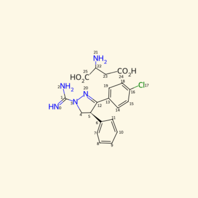 N=C(N)N1C[C@H](c2ccccc2)C(c2ccc(Cl)cc2)=N1.NC(CC(=O)O)C(=O)O